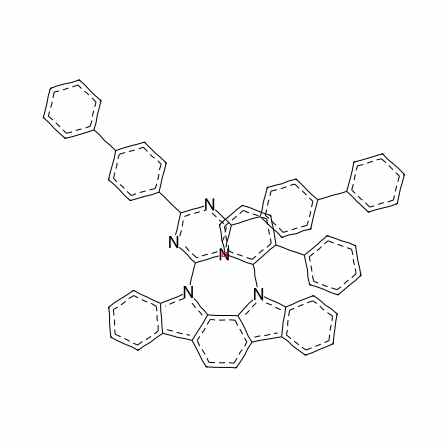 c1ccc(-c2ccc(-c3nc(-c4ccc(-c5ccccc5)cc4)nc(-n4c5ccccc5c5ccc6c7ccccc7n(-c7ccccc7-c7ccccc7)c6c54)n3)cc2)cc1